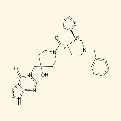 O=C([C@H]1CCN(Cc2ccccc2)C[C@@H]1c1cccs1)N1CCC(O)(Cn2cnc3[nH]ccc3c2=O)CC1